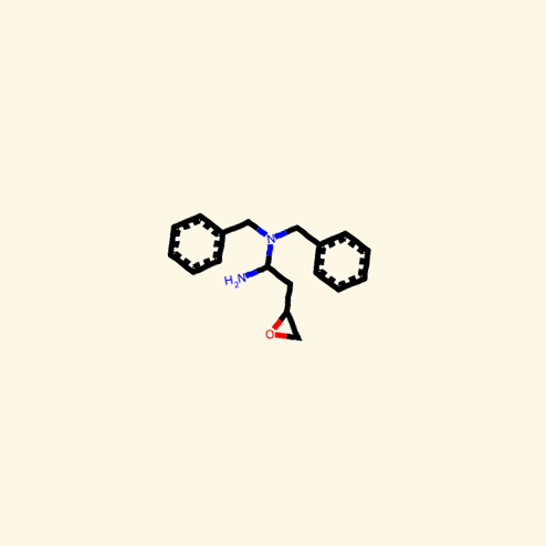 NC(CC1CO1)N(Cc1ccccc1)Cc1ccccc1